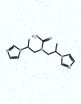 CC(CN(CC(C)n1ccnc1)C(N)=O)n1ccnc1